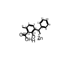 Cc1ccc(C(C)c2ccccc2)c(O)c1C(=O)O.[Zn]